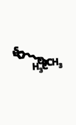 C[C](C)COCCCCCc1ccc2ccsc2c1